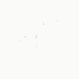 COc1ccc(Nc2cnc(CNC(=O)[C@]3(NC(=O)c4cncnc4)CCOC3)c(Cl)c2)c(C(F)(F)F)c1